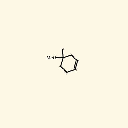 COC1(C)CC=CCC1